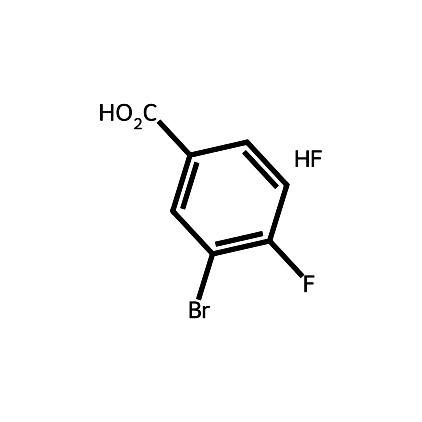 F.O=C(O)c1ccc(F)c(Br)c1